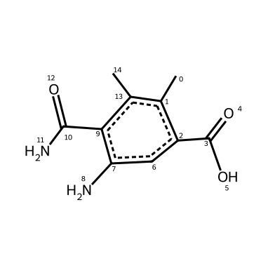 Cc1c(C(=O)O)cc(N)c(C(N)=O)c1C